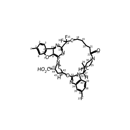 Cc1ccc2c(c1)oc1c3nc(nc12)C(F)(F)CCCCCC(=O)N1CC[C@@H]([C@@H](C)C1)n1c(nc2cc(F)ccc21)O[C@H]1C[C@@H](C(=O)O)N3C1